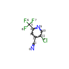 N#Cc1cc(C(F)(F)F)ncc1Cl